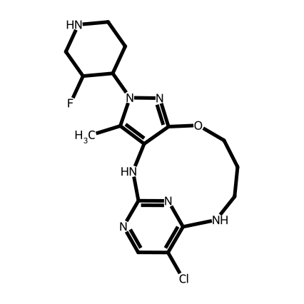 Cc1c2c(nn1C1CCNCC1F)OCCCNc1nc(ncc1Cl)N2